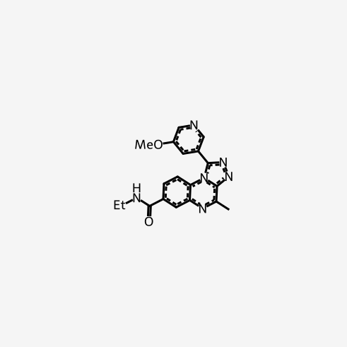 CCNC(=O)c1ccc2c(c1)nc(C)c1nnc(-c3cncc(OC)c3)n12